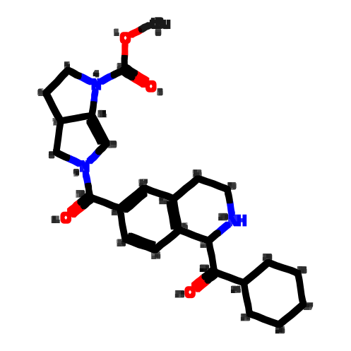 CC(C)(C)OC(=O)N1CCC2CN(C(=O)c3ccc4c(c3)CCNC4C(=O)C3CCCCC3)C=C21